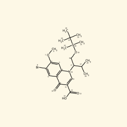 COc1cc2c(cc1Br)c(=O)c(C(=O)O)cn2C(CO[Si](C)(C)C(C)(C)C)C(C)C